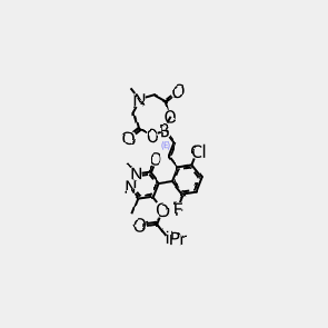 Cc1nn(C)c(=O)c(-c2c(F)ccc(Cl)c2/C=C/B2OC(=O)CN(C)CC(=O)O2)c1OC(=O)C(C)C